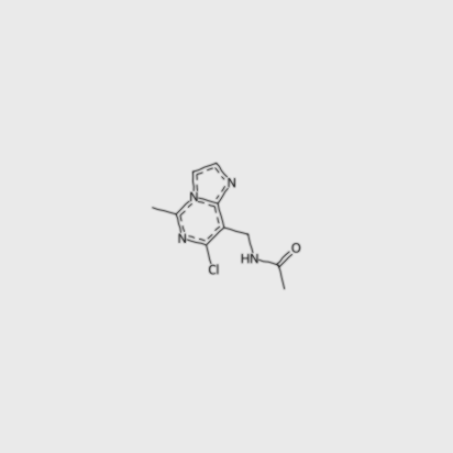 CC(=O)NCc1c(Cl)nc(C)n2ccnc12